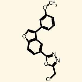 FC(F)(F)Oc1cccc(-c2coc3ccc(-c4nnc(CCl)o4)cc23)c1